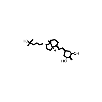 C=C1[C@H](O)CC(=C/C=C2\CCCC3(C)[C@@H](CCCCC(C)(C)O)CC[C@@H]23)C[C@H]1O